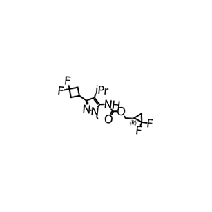 CC(C)c1c(C2CC(F)(F)C2)nn(C)c1NC(=O)OC[C@H]1CC1(F)F